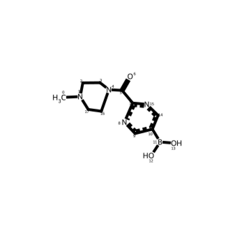 CN1CCN(C(=O)c2ncc(B(O)O)cn2)CC1